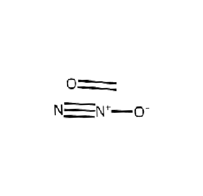 C=O.N#[N+][O-]